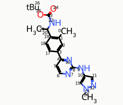 Cc1cc(-c2ccnc(Nc3cnn(C)c3)n2)ccc1C(C)NC(=O)OC(C)(C)C